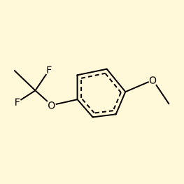 COc1ccc(OC(C)(F)F)cc1